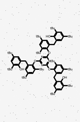 CC(C)(C)c1cc(Cc2cc(C(C)(C)C)cc(C(C)(C)C)c2Oc2nc(Oc3c(Cc4cc(C(C)(C)C)cc(C(C)(C)C)c4O)cc(C(C)(C)C)cc3C(C)(C)C)nc(Oc3c(Cc4cc(C(C)(C)C)cc(C(C)(C)C)c4O)cc(C(C)(C)C)cc3C(C)(C)C)n2)c(O)c(C(C)(C)C)c1